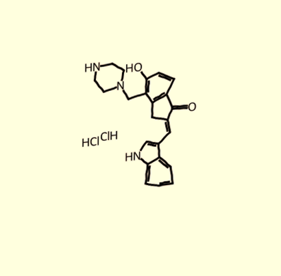 Cl.Cl.O=C1/C(=C/c2c[nH]c3ccccc23)Cc2c1ccc(O)c2CN1CCNCC1